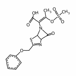 CC(OS(C)(=O)=O)=C(C(=O)O)N1C(=O)C2N=C(COc3ccccc3)SC21